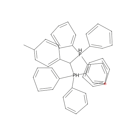 Cc1ccc(C([PH](c2ccccc2)(c2ccccc2)c2ccccc2)[PH](c2ccccc2)(c2ccccc2)c2ccccc2)cc1